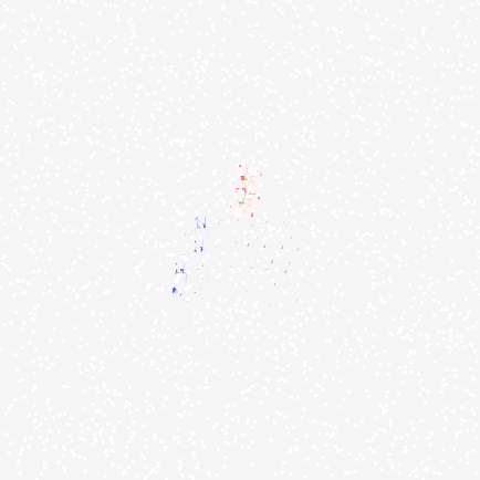 CCCCCCCCCCCCCCCC[N+](C)(C)C.CCCCCCCCCCCCCCCC[N+](C)(C)C.CCCCCCCCCCCC[N+](C)(C)C.CCCCCCCCCCCC[N+](C)(C)C.O=S(=O)([O-])[O-].O=S(=O)([O-])[O-]